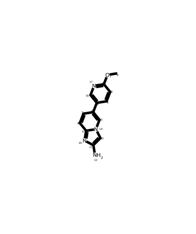 COc1ccc(-c2ccc3nc(N)cn3c2)cn1